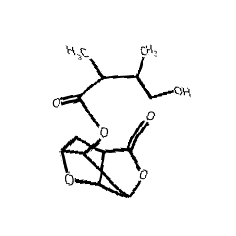 CC(CO)C(C)C(=O)OC1C2CC3C(=O)OC1C3O2